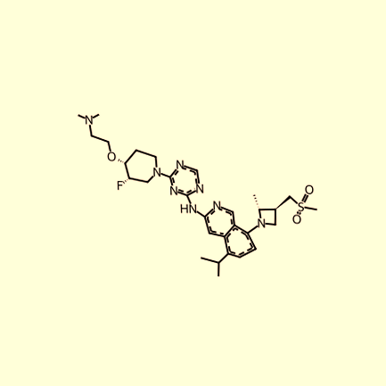 CC(C)c1ccc(N2C[C@H](CS(C)(=O)=O)[C@H]2C)c2cnc(Nc3ncnc(N4CC[C@@H](OCCN(C)C)[C@@H](F)C4)n3)cc12